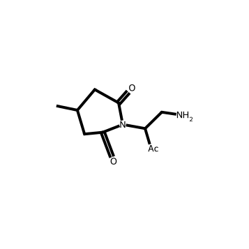 CC(=O)C(CN)N1C(=O)CC(C)CC1=O